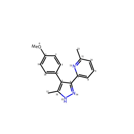 COc1ccc(-c2c(-c3cccc(C)n3)n[nH]c2C)cc1